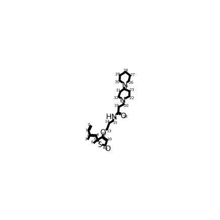 C=C/C(C)=C/C1(C)SC(=O)C=C1OCCCNC(=O)CCN1CCC(N2CCCCC2)CC1